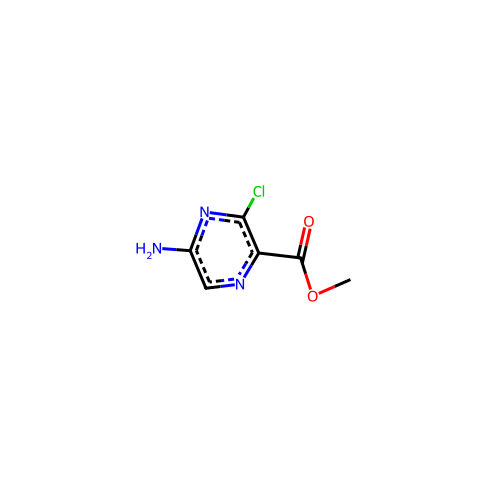 COC(=O)c1ncc(N)nc1Cl